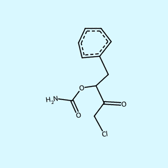 NC(=O)OC(Cc1ccccc1)C(=O)CCl